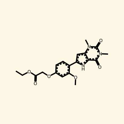 CCOC(=O)COc1ccc(-c2cc3c([nH]2)c(=O)n(C)c(=O)n3C)c(OC)c1